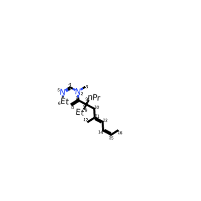 C=C(N(C)/C=N\CC)C(CC)(CCC)C/C(C)=C/C=C\C